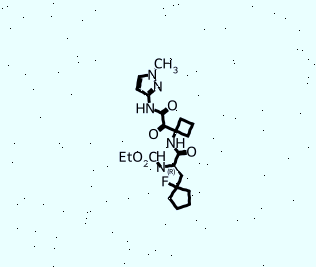 CCOC(=O)N[C@H](CC1(F)CCCC1)C(=O)NC1(C(=O)C(=O)Nc2ccn(C)n2)CCC1